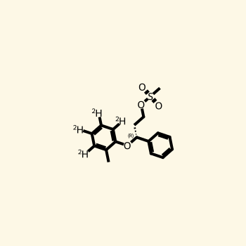 [2H]c1c([2H])c([2H])c(O[C@H](CCOS(C)(=O)=O)c2ccccc2)c(C)c1[2H]